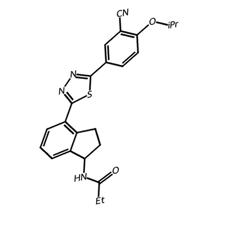 CCC(=O)NC1CCc2c(-c3nnc(-c4ccc(OC(C)C)c(C#N)c4)s3)cccc21